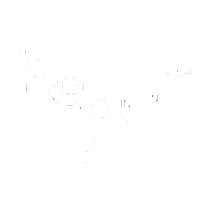 CCc1cc(Nc2nccn3c(-c4ccc(OC)c(F)c4F)cnc23)ccc1C(=O)NCC[N+]1(C)CCC(C(N)=O)C1.O=C([O-])C(F)(F)F